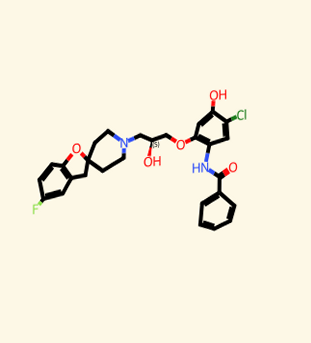 O=C(Nc1cc(Cl)c(O)cc1OC[C@@H](O)CN1CCC2(CC1)Cc1cc(F)ccc1O2)c1ccccc1